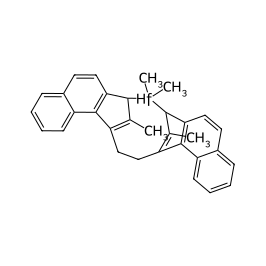 CC1=C2CCC3=C(C)[CH](c4ccc5ccccc5c43)[Hf]([CH3])([CH3])[CH]1c1ccc3ccccc3c12